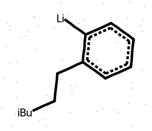 [Li][c]1ccccc1CCC(C)CC